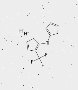 FC(F)(F)C1=[C]([Ti][C]2=CC=CC2)CC=C1.[H-].[H-]